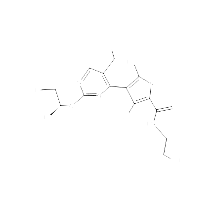 CC[C@@H](CO)Nc1ncc(CO)c(-c2c(C)[nH]c(C(=O)NCCO)c2C)n1